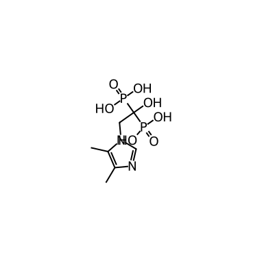 Cc1ncn(CC(O)(P(=O)(O)O)P(=O)(O)O)c1C